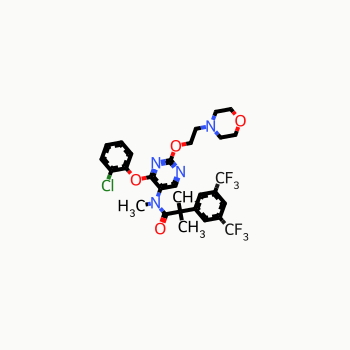 CN(C(=O)C(C)(C)c1cc(C(F)(F)F)cc(C(F)(F)F)c1)c1cnc(OCCN2CCOCC2)nc1Oc1ccccc1Cl